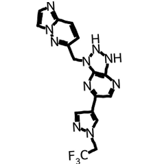 FC(F)(F)Cn1cc(-c2cnc3c(n2)N(Cc2ccc4nccn4n2)NN3)cn1